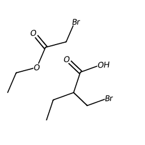 CCC(CBr)C(=O)O.CCOC(=O)CBr